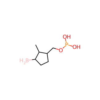 BC1CCC(COP(O)O)C1C